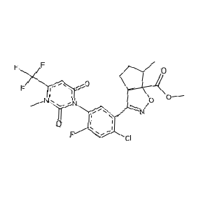 COC(=O)C12ON=C(c3cc(-n4c(=O)cc(C(F)(F)F)n(C)c4=O)c(F)cc3Cl)C1CCC2C